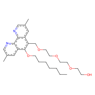 CCCCCCCOc1c(COCCOCCOCCO)c2cc(C)cnc2c2ncc(C)cc12